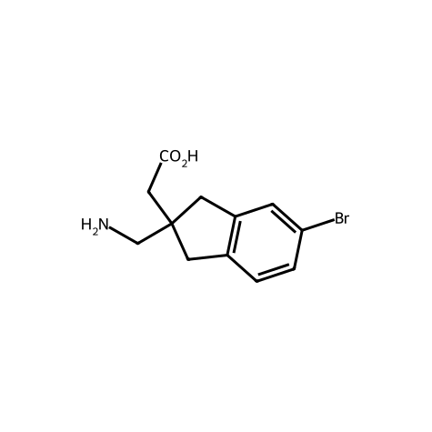 NCC1(CC(=O)O)Cc2ccc(Br)cc2C1